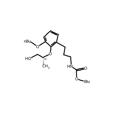 CCCCOc1cccc(CCCNC(=O)OC(C)(C)C)c1O[C@H](C)CO